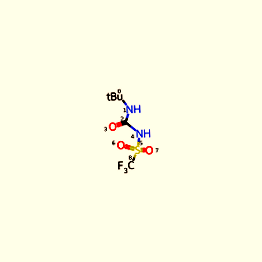 CC(C)(C)NC(=O)NS(=O)(=O)C(F)(F)F